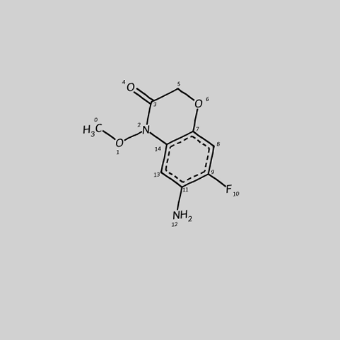 CON1C(=O)COc2cc(F)c(N)cc21